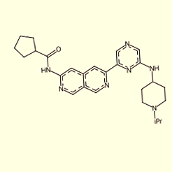 CC(C)N1CCC(Nc2cncc(-c3cc4cc(NC(=O)C5CCCC5)ncc4cn3)n2)CC1